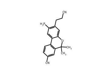 CC1(C)Oc2cc(CCC#N)c(P)cc2-c2ccc(C#N)cc21